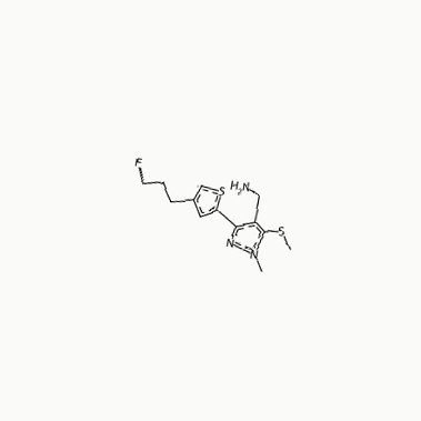 CSc1c(CN)c(-c2cc(CCCF)[c]s2)nn1C